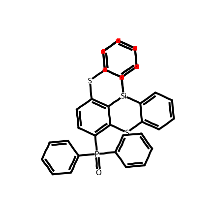 O=P(c1ccccc1)(c1ccccc1)c1ccc2c3c1Sc1ccccc1[Si]3(c1ccccc1)c1ccccc1S2